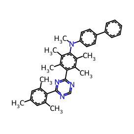 Cc1cc(C)c(-c2ncnc(-c3c(C)c(C)c(N(C)c4ccc(-c5ccccc5)cc4)c(C)c3C)n2)c(C)c1